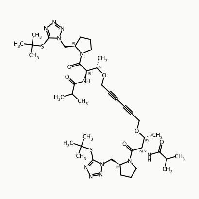 CC(C)C(=O)N[C@H](C(=O)N1CCC[C@H]1Cn1nnnc1SC(C)(C)C)[C@@H](C)OCC#CC#CCO[C@@H](C)[C@@H](NC(=O)C(C)C)C(=O)N1CCC[C@@H]1Cn1nnnc1SC(C)(C)C